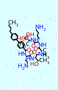 CCCCc1ccc(-c2ccc(C(=O)N[C@@H](CCN)C(=O)N[C@H](C(=O)N[C@@H](C)C(=O)N[C@@H](CCCCN)C(=O)N[C@@H](C)B(O)O)[C@@H](C)O)cc2)cc1